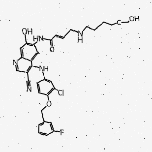 N#Cc1cnc2cc(O)c(NC(=O)/C=C/CNCCCCCCO)cc2c1Nc1ccc(OCc2cccc(F)c2)c(Cl)c1